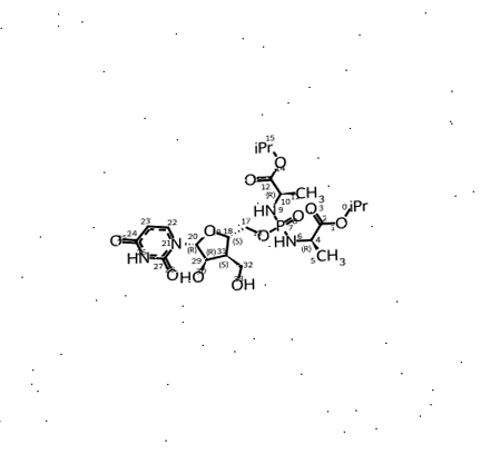 CC(C)OC(=O)[C@@H](C)NP(=O)(N[C@H](C)C(=O)OC(C)C)OC[C@H]1O[C@@H](n2ccc(=O)[nH]c2=O)[C@H](O)[C@@H]1CO